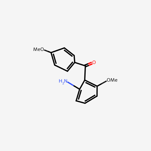 COc1ccc(C(=O)c2c(N)cccc2OC)cc1